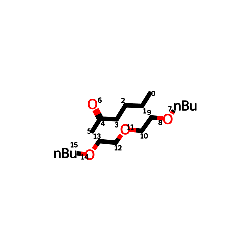 CCCCC(C)=O.CCCCOCCOCCOCCCC